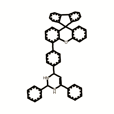 C1=C(c2ccccc2)NC(c2ccccc2)NC1c1ccc(-c2cccc3c2Oc2ccccc2C32c3ccccc3-c3ccccc32)cc1